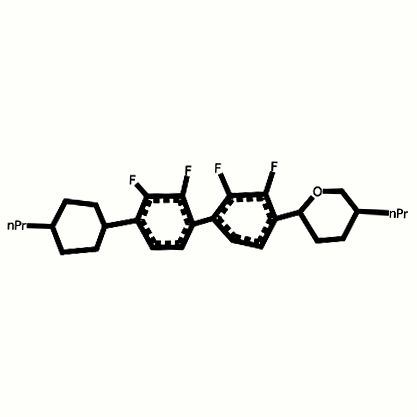 CCCC1CCC(c2ccc(-c3ccc(C4CCC(CCC)CO4)c(F)c3F)c(F)c2F)CC1